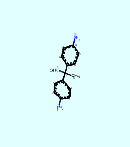 CC(C=O)(c1ccc(N)cc1)c1ccc(N)cc1